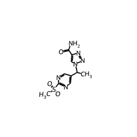 CC(c1cnc(S(C)(=O)=O)nc1)n1cc(C(N)=O)nn1